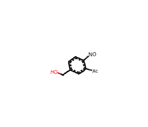 CC(=O)c1cc(CO)ccc1N=O